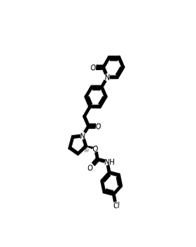 O=C(Nc1ccc(Cl)cc1)O[C@H]1CCCN1C(=O)Cc1ccc(-n2ccccc2=O)cc1